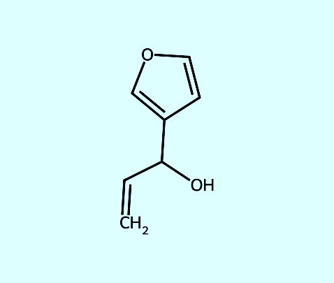 C=CC(O)c1ccoc1